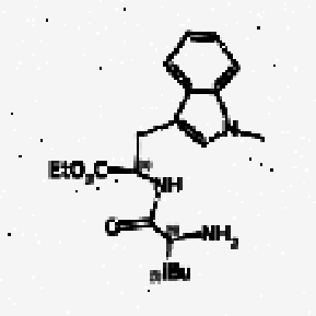 CCOC(=O)[C@@H](Cc1cn(C)c2ccccc12)NC(=O)[C@@H](N)[C@@H](C)CC